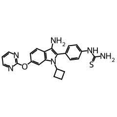 NC(=S)Nc1ccc(-c2c(N)c3ccc(Oc4ncccn4)cc3n2C2CCC2)cc1